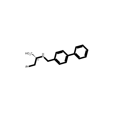 CC(C)C[C@@H](NCc1ccc(-c2ccccc2)cc1)C(=O)O